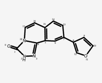 O=c1[nH]nc2c3cc(-c4ccoc4)ccc3ccn12